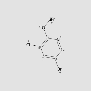 CC(C)Oc1ncc(Br)cc1Cl